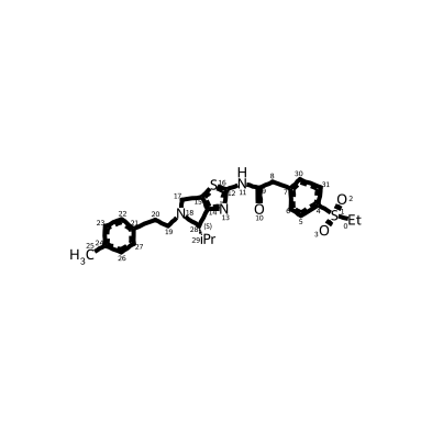 CCS(=O)(=O)c1ccc(CC(=O)Nc2nc3c(s2)CN(CCc2ccc(C)cc2)[C@H]3C(C)C)cc1